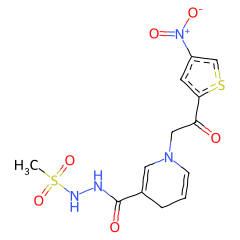 CS(=O)(=O)NNC(=O)C1=CN(CC(=O)c2cc([N+](=O)[O-])cs2)C=CC1